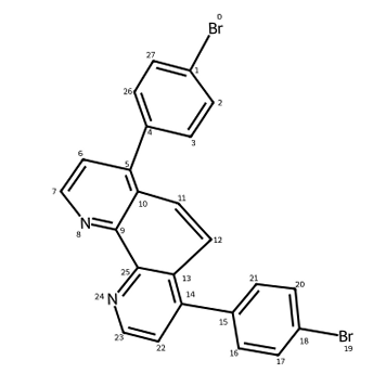 Brc1ccc(-c2ccnc3c2ccc2c(-c4ccc(Br)cc4)ccnc23)cc1